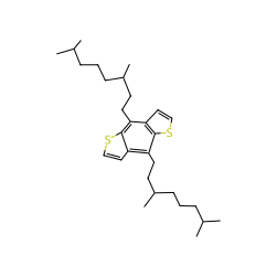 CC(C)CCCC(C)CCc1c2ccsc2c(CCC(C)CCCC(C)C)c2ccsc12